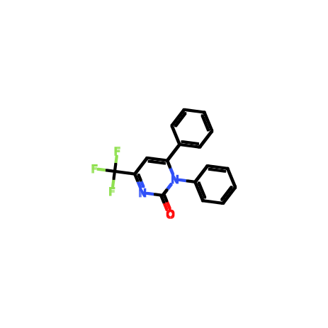 O=c1nc(C(F)(F)F)cc(-c2ccccc2)n1-c1ccccc1